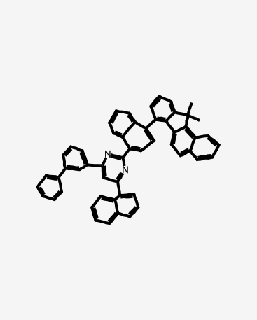 CC1(C)c2cccc(-c3ccc(-c4nc(-c5cccc(-c6ccccc6)c5)cc(-c5cccc6ccccc56)n4)c4ccccc34)c2-c2ccc3ccccc3c21